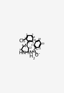 Clc1ccccc1N1CCNCC1.N[S+]([O-])c1ccccc1